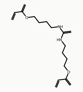 C=CC(=C)OCCCCNC(=C)NCCCCOC(=C)C=C